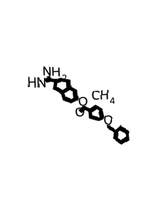 C.N=C(N)c1ccc2cc(OC(=O)c3ccc(OCc4ccccc4)cc3)ccc2c1